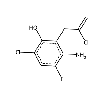 C=C(Cl)Cc1c(N)c(F)cc(Cl)c1O